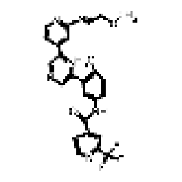 COCCNc1cc(-c2cncc(-c3cc(NC(=O)c4ccnc(C(F)(F)F)c4)ccc3C)n2)ccn1